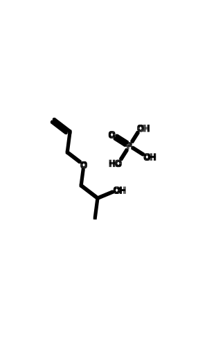 C=CCOCC(C)O.O=P(O)(O)O